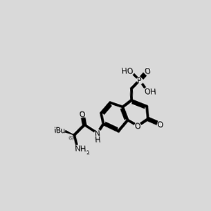 CCC(C)[C@H](N)C(=O)Nc1ccc2c(CP(=O)(O)O)cc(=O)oc2c1